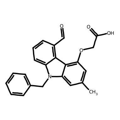 Cc1cc(OCC(=O)O)c2c3c(C=O)cccc3n(Cc3ccccc3)c2c1